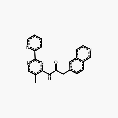 Cc1cnc(-c2ccccn2)nc1NC(=O)Cc1ccc2cnccc2c1